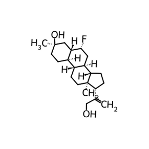 C=C(CO)[C@H]1CC[C@H]2[C@@H]3C[C@@H](F)[C@H]4C[C@](C)(O)CC[C@@H]4[C@H]3CC[C@]12C